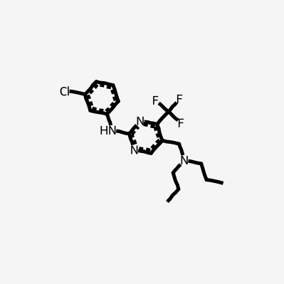 CCCN(CCC)Cc1cnc(Nc2cccc(Cl)c2)nc1C(F)(F)F